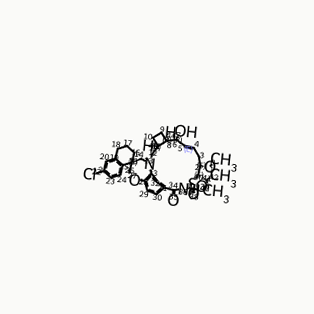 CO[C@H]1C/C=C/[C@H](O)[C@@H]2CC[C@H]2CN2C[C@@]3(CCCc4cc(Cl)ccc43)COc3ccc(cc32)C(=O)NS(=O)(=O)[C@H]1C(C)C